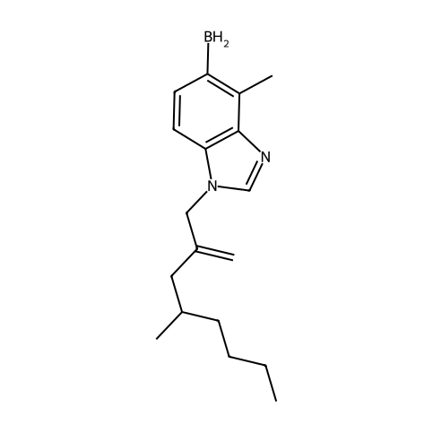 Bc1ccc2c(ncn2CC(=C)CC(C)CCCC)c1C